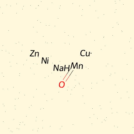 [Cu].[NaH].[Ni].[O]=[Mn].[Zn]